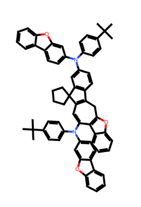 CC(C)(C)c1ccc(N(C2=CC3=C(Cc4oc5ccccc5c42)c2ccc(N(c4ccc(C(C)(C)C)cc4)c4ccc5c(c4)oc4ccccc45)cc2C32CCCC2)c2ccc3c(c2)oc2ccccc23)cc1